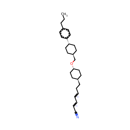 CCCc1ccc([C@H]2CC[C@H](CO[C@H]3CC[C@H](CC/C=C/C=C/C#N)CC3)CC2)cc1